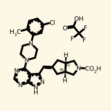 Cc1ccc(Cl)cc1N1CCN(c2ncnc3[nH]nc(C=C4C[C@@H]5CN(C(=O)O)C[C@@H]5C4)c23)CC1.O=C(O)C(F)(F)F